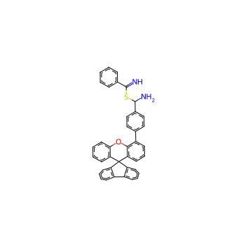 N=C(SC(N)c1ccc(-c2cccc3c2Oc2ccccc2C32c3ccccc3-c3ccccc32)cc1)c1ccccc1